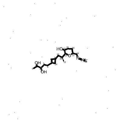 CC(O)C(O)CCC1CC(C[C@H](C)C2OC(CN=[N+]=[N-])CCC2O)C1